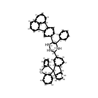 c1ccc(C2=C(c3ccc4c(c3)-c3cccc5cccc-4c35)NNC(c3ccc4c(c3)C3(c5ccccc5Oc5ccccc53)c3ccccc3-4)N2)cc1